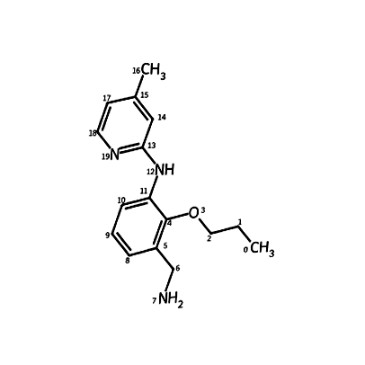 CCCOc1c(CN)cccc1Nc1cc(C)ccn1